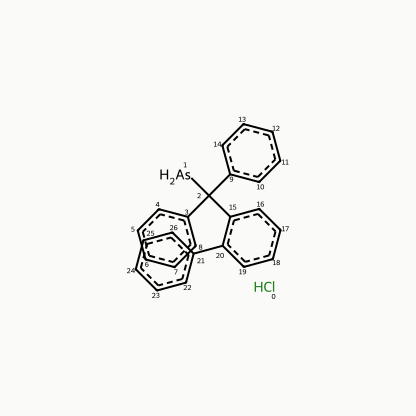 Cl.[AsH2]C(c1ccccc1)(c1ccccc1)c1ccccc1-c1ccccc1